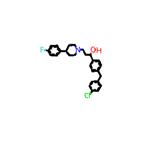 OC(CCN1CCC(c2ccc(F)cc2)CC1)c1ccc(Cc2ccc(Cl)cc2)cc1